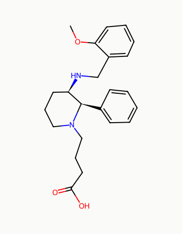 COc1ccccc1CN[C@@H]1CCCN(CCCC(=O)O)[C@@H]1c1ccccc1